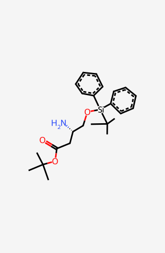 CC(C)(C)OC(=O)C[C@H](N)CO[Si](c1ccccc1)(c1ccccc1)C(C)(C)C